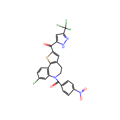 O=C(c1cc(C(F)(F)F)n[nH]1)c1cc2c(s1)-c1ccc(F)cc1N(C(=O)c1ccc([N+](=O)[O-])cc1)CC2